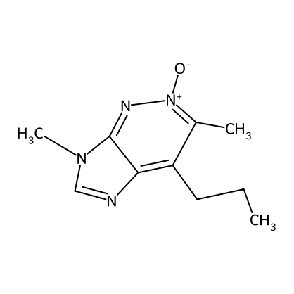 CCCc1c(C)[n+]([O-])nc2c1ncn2C